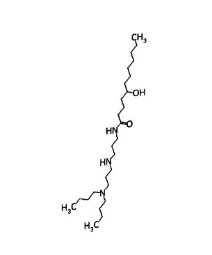 CCCCCCCC(O)CCCC(=O)NCCCNCCCN(CCCC)CCCC